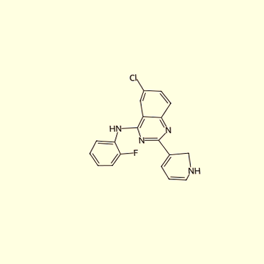 Fc1ccccc1Nc1nc(C2=CC=CNC2)nc2ccc(Cl)cc12